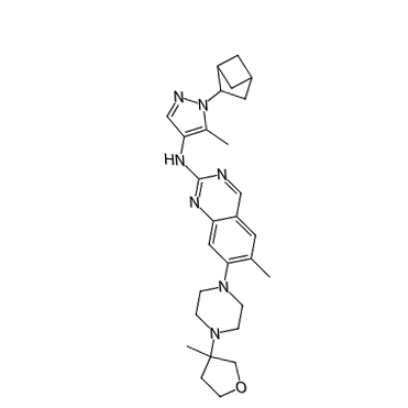 Cc1cc2cnc(Nc3cnn(C4CC5CC4C5)c3C)nc2cc1N1CCN(C2(C)CCOC2)CC1